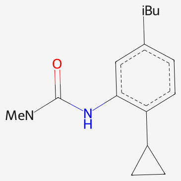 CCC(C)c1ccc(C2CC2)c(NC(=O)NC)c1